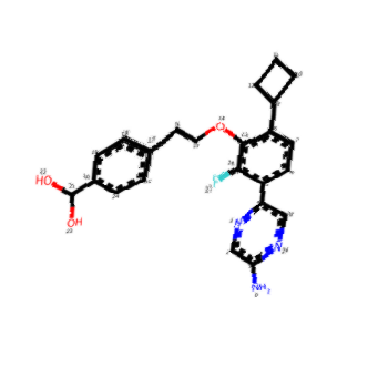 Nc1cnc(-c2ccc(C3CCC3)c(OCCc3ccc(C(O)O)cc3)c2F)cn1